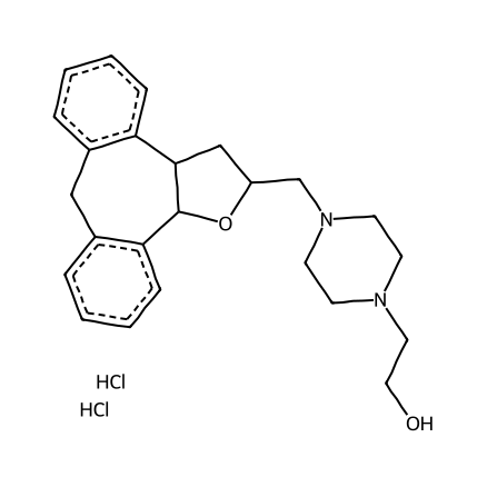 Cl.Cl.OCCN1CCN(CC2CC3c4ccccc4Cc4ccccc4C3O2)CC1